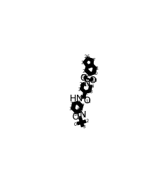 CC(C)(C)c1nc2cc(NC(=O)C3CCN(S(=O)(=O)c4ccc5c(c4)CCC5)CC3)ccc2o1